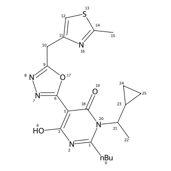 CCCCc1nc(O)c(-c2nnc(Cc3csc(C)n3)o2)c(=O)n1C(C)C1CC1